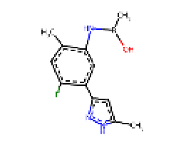 CB(O)Nc1cc(-c2cc(C)[nH]n2)c(F)cc1C